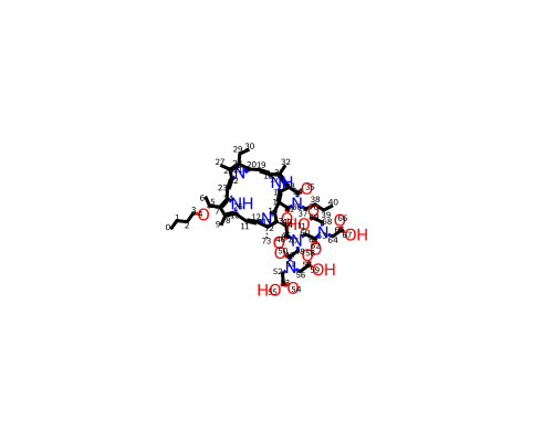 CCCCOC(C)c1c(C)c2cc3nc(c4c5[nH]c(cc6nc(cc1[nH]2)C(C)=C6CC)c(C)c5C(=O)N(CCCC)C4=O)[C@@H](CC(=O)N(CC(=O)N(CC(=O)O)CC(=O)O)CC(=O)N(CC(=O)O)CC(=O)O)[C@@H]3C